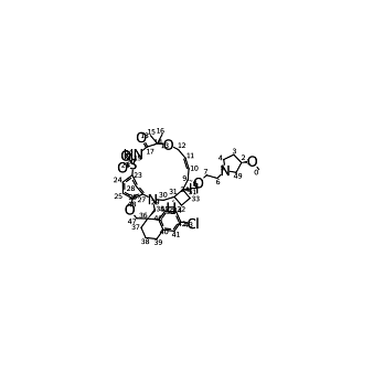 CO[C@@H]1CCN(CCO[C@H]2C=CCOC(C)(C)C(=O)NS(=O)(=O)c3ccc4c(c3)N(C[C@@H]3CC[C@H]32)C[C@@]2(CCCc3cc(Cl)ccc32)CO4)C1